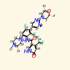 C[C@@H]1CN(c2ncc(-c3c(F)cc(N4CCN(C)[C@@H](C)C4)c(NC(=O)c4c[nH]c(=O)cc4C(F)F)c3F)cn2)C[C@H](C)O1